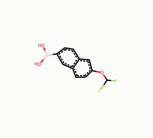 OB(O)c1ccc2cc(OC(F)F)ccc2c1